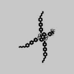 CCCCCC1CCC(c2ccc(-c3ccc(Sc4ccc(Sc5ccc(-c6ccc(C7CCC(CCCCC)CC7)cc6)cc5)c5c4C(=O)c4c(Sc6ccc(-c7ccc(C8CCC(CCCCC)CC8)cc7)cc6)ccc(Sc6ccc(C(F)(F)F)cc6)c4C5=O)cc3)cc2)CC1